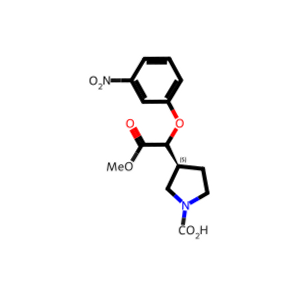 COC(=O)C(Oc1cccc([N+](=O)[O-])c1)[C@H]1CCN(C(=O)O)C1